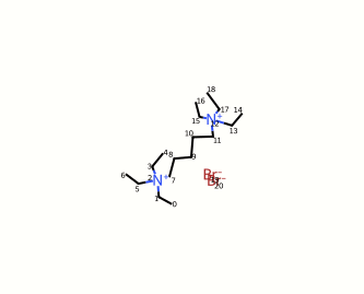 CC[N+](CC)(CC)CCCCC[N+](CC)(CC)CC.[Br-].[Br-]